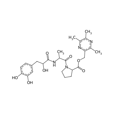 Cc1nc(C)c(COC(=O)C2CCCN2C(=O)C(C)NC(=O)C(O)Cc2ccc(O)c(O)c2)nc1C